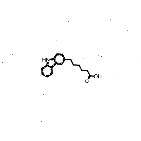 O=C(O)CCCCCc1ccc2[nH]c3ccccc3c2c1